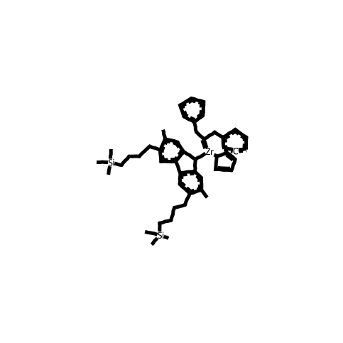 Cc1cc2c(cc1CCCC[Si](C)(C)C)-c1cc(CCCC[Si](C)(C)C)c(C)cc1[CH]2[Zr](=[C](Cc1ccccc1)Cc1ccccc1)[CH]1C=CC=C1